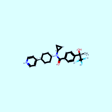 C[C@](O)(c1ccc(C(=O)N(C2CC2)[C@H]2CC[C@H](c3ccncc3)CC2)cc1)C(F)(F)F